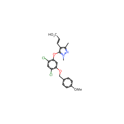 COc1ccc(COc2cc(Oc3c(C=CC(=O)O)c(C)nn3C)c(Cl)cc2Cl)cc1